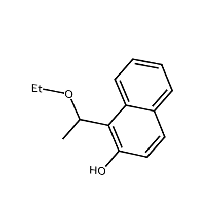 CCOC(C)c1c(O)ccc2ccccc12